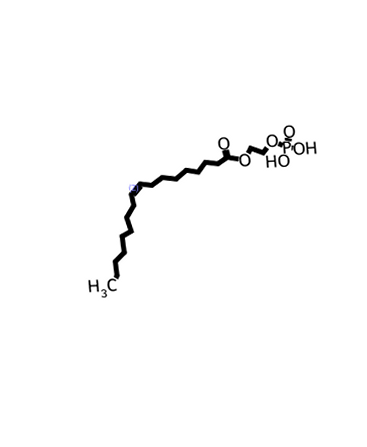 CCCCCCCC/C=C\CCCCCCCC(=O)OCCOP(=O)(O)O